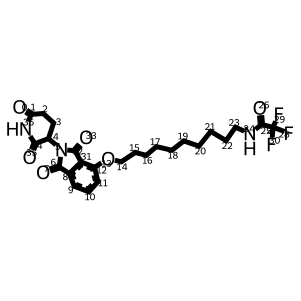 O=C1CCC(N2C(=O)c3cccc(OCCCCCCCCCCNC(=O)C(F)(F)F)c3C2=O)C(=O)N1